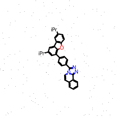 CC(C)c1ccc2oc3c(-c4ccc(-c5nnc6c7ccccc7ccn56)cc4)cc(C(C)C)cc3c2c1